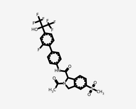 CC(=O)N1Cc2cc(S(C)(=O)=O)ccc2C1C(=O)Nc1ccc(-c2ccc(C(O)(C(F)(F)F)C(F)(F)F)cc2F)cc1